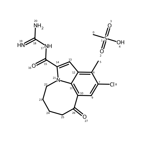 CS(=O)(=O)O.Cc1c(Cl)cc2c3c1cc(C(=O)NC(=N)N)n3CCCCC2=O